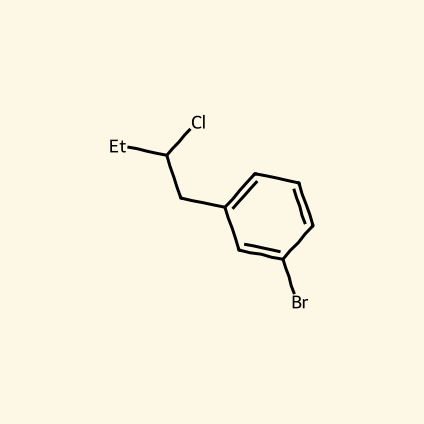 CCC(Cl)Cc1cccc(Br)c1